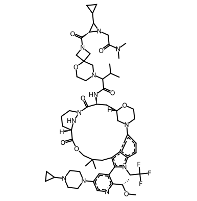 CO[C@@H](C)c1ncc(N2CCN(C3CC3)CC2)cc1-c1c2c3cc(ccc3n1CC(F)(F)F)N1CCO[C@@H](C[C@H](NC(=O)C(C(C)C)N3CCOC4(CN(C(=O)[C@H]5C(C6CC6)N5CC(=O)N(C)C)C4)C3)C(=O)N3CCC[C@H](N3)C(=O)OCC(C)(C)C2)C1